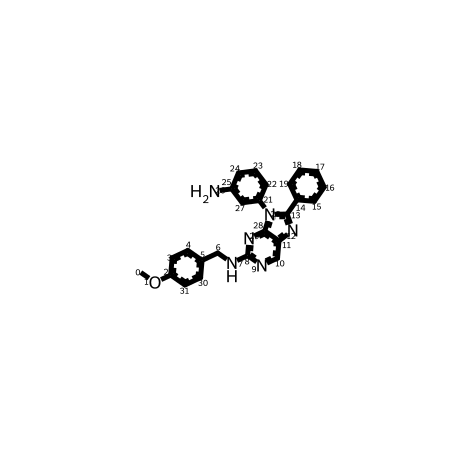 COc1ccc(CNc2ncc3nc(-c4ccccc4)n(-c4cccc(N)c4)c3n2)cc1